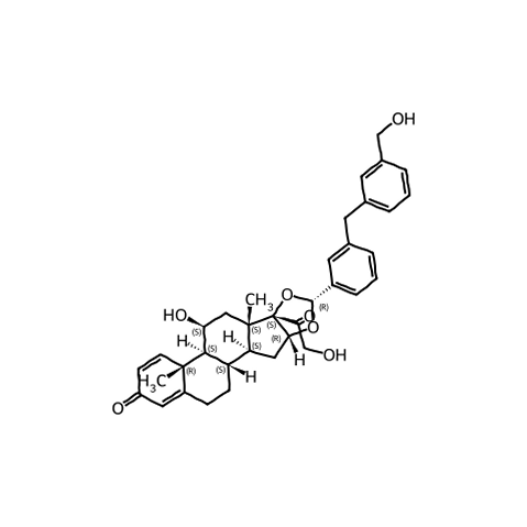 C[C@]12C=CC(=O)C=C1CC[C@@H]1[C@@H]2[C@@H](O)C[C@@]2(C)[C@H]1C[C@H]1O[C@@H](c3cccc(Cc4cccc(CO)c4)c3)O[C@]12C(=O)CO